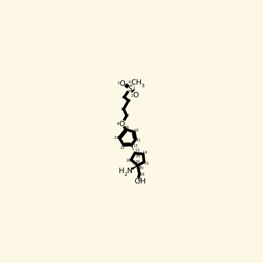 CS(=O)(=O)CCCCOc1ccc([C@@H]2CC[C@](N)(CO)C2)cc1